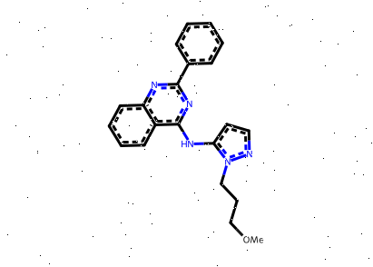 COCCCn1nccc1Nc1nc(-c2ccccc2)nc2ccccc12